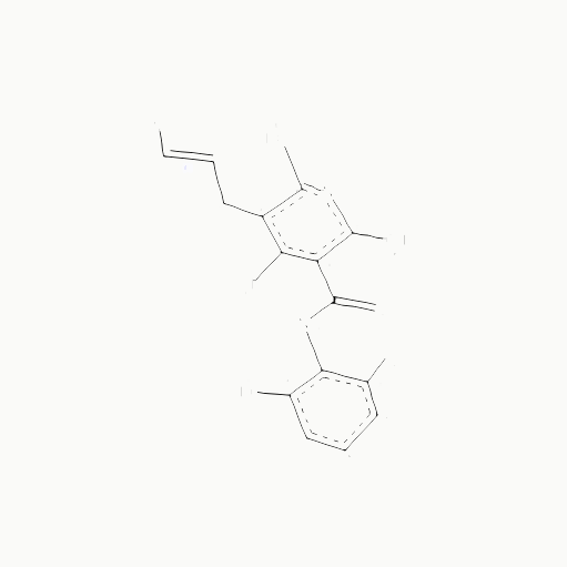 C/C=C/Cc1c(C)nc(C)c(C(=O)Nc2c(CC)cccc2CC)c1I